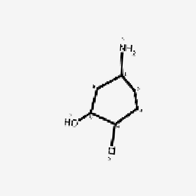 NC1CCC(Cl)C(O)C1